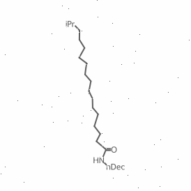 CCCCCCCCCCNC(=O)CCCCCCCCCCCCCCC(C)C